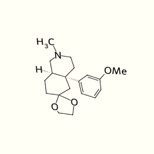 COc1cccc([C@@]23CCN(C)C[C@@H]2CCC2(C3)OCCO2)c1